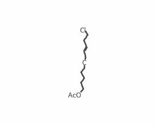 CC(=O)OCCCCCCC/C=C/CCCl